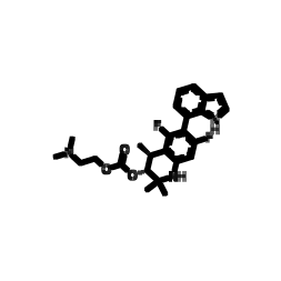 C[C@H]1c2c(cc(F)c(-c3cccc4cc[nH]c34)c2F)NC(C)(C)[C@@H]1OC(=O)OCCN(C)C